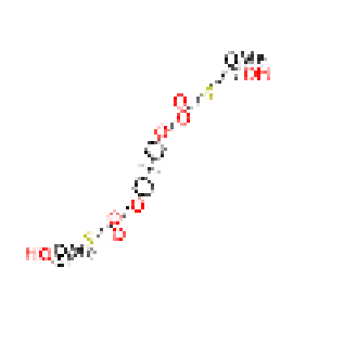 COC(C)(CO)CCCSCCC(=O)OCCOc1ccc(C(C)(C)c2ccc(OCCOC(=O)CCSCCC[Si](C)(CO)OC)cc2)cc1